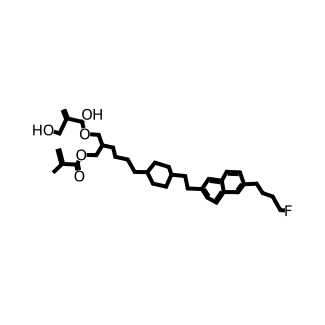 C=C(C)C(=O)OCC(CCCCC1CCC(CCc2ccc3cc(CCCCF)ccc3c2)CC1)COC(O)C(=C)CO